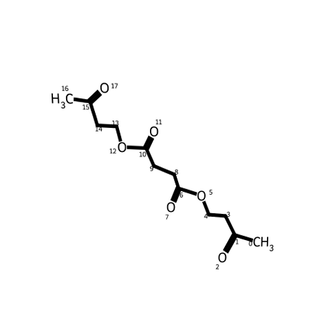 CC(=O)CCOC(=O)CCC(=O)OCCC(C)=O